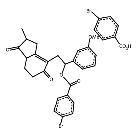 COc1cccc(C(CC2=C3CC(C)C(=O)C3CCC2=O)OC(=O)c2ccc(Br)cc2)c1.O=C(O)c1ccc(Br)cc1